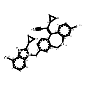 N#CC(=C1c2ccc(Cn3c(C4CC4)nc4c(Cl)cccc43)cc2COc2cc(F)ccc21)C1CC1